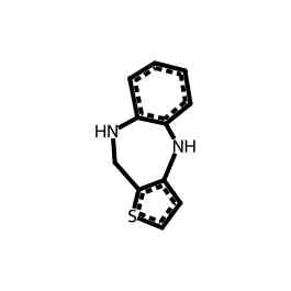 c1ccc2c(c1)NCc1sccc1N2